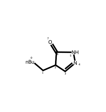 CCCCCC1C=NNC1=O